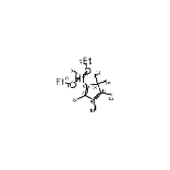 CC[O][Hf]([CH3])([O]CC)[C]1=C(C)C(C)=C(C)C1(C)C